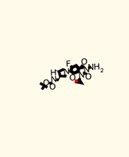 COc1c(N2C[C@@H](CNC(=O)OC(C)(C)C)[C@H](C)C2)c(F)cc2c(=O)n(N)c(=O)n(C3CC3)c12